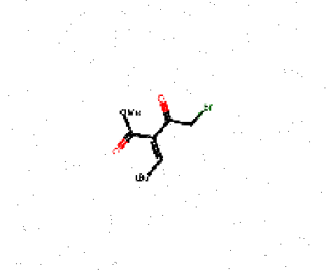 COC(=O)/C(=C\C(C)(C)C)C(=O)CBr